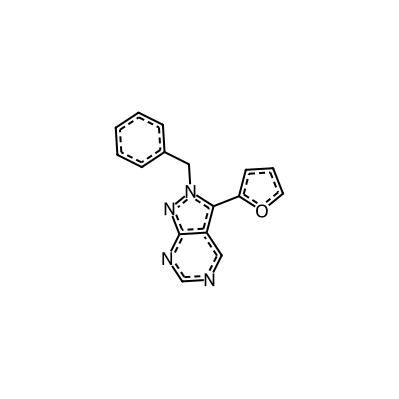 c1ccc(Cn2nc3ncncc3c2-c2ccco2)cc1